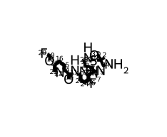 CC1(C)C(N)=N[C@](C)(c2nc(NC(=O)c3ccc(OCF)cn3)ccc2F)[C@@H]2CCN[SH]21=O